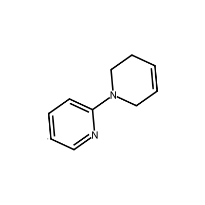 [c]1ccc(N2CC=CCC2)nc1